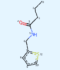 CCCC(=O)NCc1cccs1